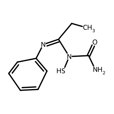 CCC(=Nc1ccccc1)N(S)C(N)=O